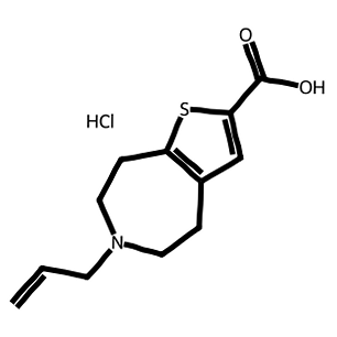 C=CCN1CCc2cc(C(=O)O)sc2CC1.Cl